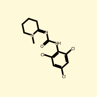 CN1CCCCC1=NC(=O)Nc1c(Cl)cc(Cl)cc1Cl